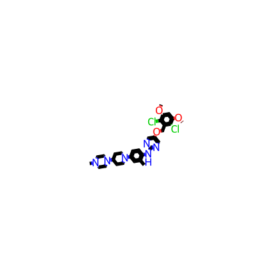 COc1cc(OC)c(Cl)c(COc2cnc(Nc3ccc(N4CCC(N5CCN(C)CC5)CC4)cc3C)nc2)c1Cl